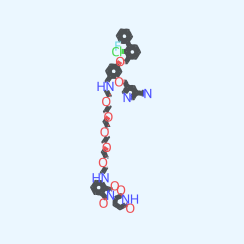 N#Cc1cncc(COc2cc(OCc3cccc(-c4ccccc4F)c3Cl)ccc2CNCCOCCOCCOCCOCCOCCNc2cccc3c2C(=O)N(C2CCC(=O)NC2=O)C3=O)c1